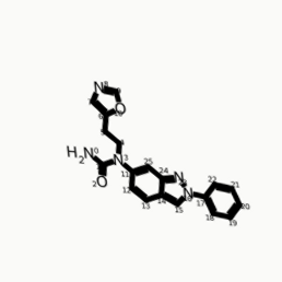 NC(=O)N(CCc1cnco1)c1ccc2cn(-c3ccccc3)nc2c1